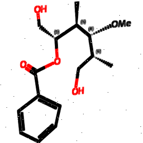 CO[C@@H]([C@H](C)[C@@H](CO)OC(=O)c1ccccc1)[C@H](C)CO